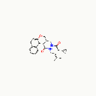 CC(C)=CCNC(=O)C1C(CNC(=O)CC2CC2)COC2=CCc3ccccc3C21